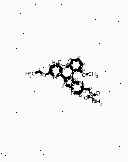 CCOc1cccc(-c2nc3ncc(CS(N)(=O)=O)nc3n2-c2c(OC)cccc2OC)n1